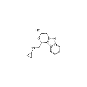 Cl.c1ccc2c3n(nc2c1)CCOC3CNC1CC1